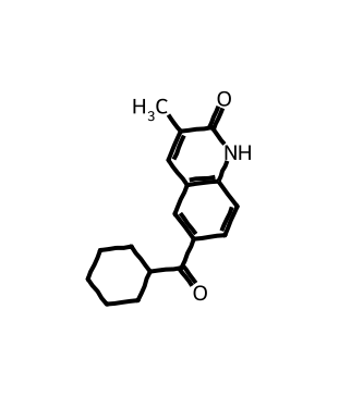 Cc1cc2cc(C(=O)C3CCCCC3)ccc2[nH]c1=O